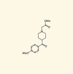 COC(=O)CN1CCC(C(=O)c2ccc(OC)cc2)CC1